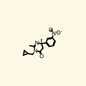 CC1=N[C@](C)(c2cccc([N+](=O)[O-])c2)CC(=O)N1CC1CC1